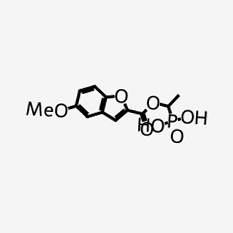 COc1ccc2oc(C(=O)OC(C)P(=O)(O)O)cc2c1